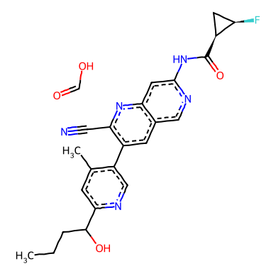 CCCC(O)c1cc(C)c(-c2cc3cnc(NC(=O)[C@H]4C[C@H]4F)cc3nc2C#N)cn1.O=CO